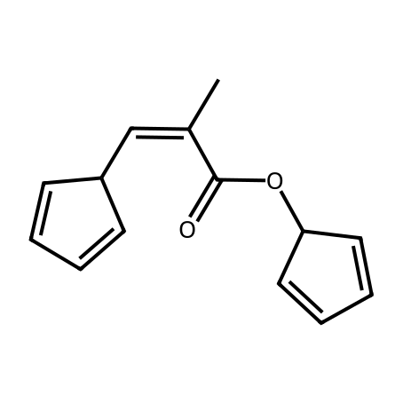 CC(=CC1C=CC=C1)C(=O)OC1C=CC=C1